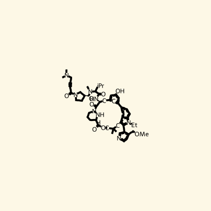 CCn1c(-c2cnccc2COC)c2c3cc(ccc31)-c1cc(O)cc(c1)C[C@H](NC(=O)C(C(C)C)N(C)C(=O)[C@H]1CCN(C(=O)C#CCN(C)C)C1)C(=O)N1CCC[C@H](N1)C(=O)OCC(C)(C)C2